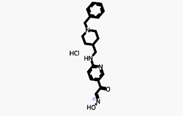 Cl.O=C(/C=N/O)c1ccc(NCC2CCN(Cc3ccccc3)CC2)nc1